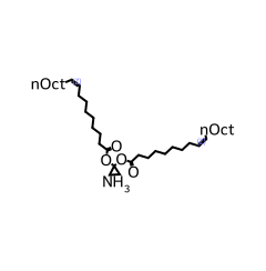 CCCCCCCC/C=C\CCCCCCCC(=O)OC1(OC(=O)CCCCCCC/C=C\CCCCCCCC)CC1.N